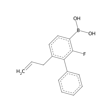 C=CCc1ccc(B(O)O)c(F)c1-c1ccccc1